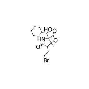 CC12OC(=O)C1(C(O)C1CCCCC1)NC(=O)C2CCBr